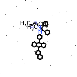 C/C=C\C=C/C(C)(C)N1CN(c2ccc(-c3c4ccccc4c(-c4ccc5ccccc5c4)c4ccccc34)cc2)C(c2ccccc2)=C1c1ccccc1